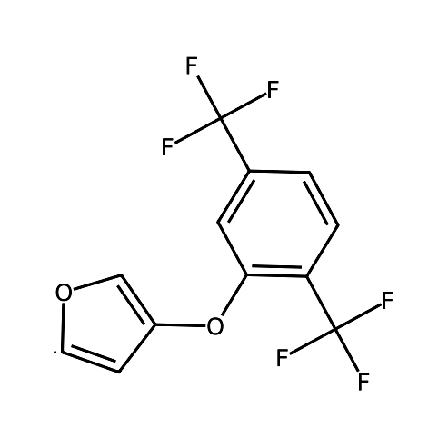 FC(F)(F)c1ccc(C(F)(F)F)c(Oc2c[c]oc2)c1